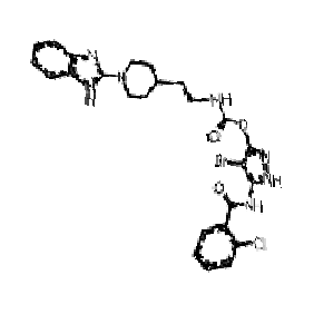 O=C(NCCC1CCN(c2nc3ccccc3[nH]2)CC1)Oc1n[nH]c(NC(=O)c2ccccc2Cl)c1Br